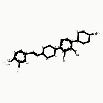 CCCC1CCC(c2ccc(C3CCC(/C=C/c4ccc(C)c(F)c4)CC3)c(F)c2F)CC1